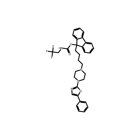 O=C(NCC(F)(F)F)OC1(CCCCN2CCN(c3ncc(-c4ccccc4)o3)CC2)c2ccccc2-c2ccccc21